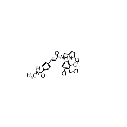 CNC(=O)c1ccc(/C=C/C(=O)NCc2ccc(Cl)n2-c2ccc(Cl)c(CCl)c2Cl)cc1